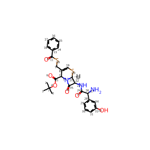 CC(C)(C)OC(=O)C1C(CSC(=O)c2ccccc2)=CS[C@H]2C(NC(=O)C(N)c3cccc(O)c3)C(=O)N12